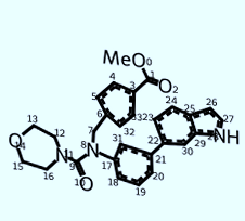 COC(=O)c1ccc(CN(C(=O)N2CCOCC2)c2cccc(-c3ccc4cc[nH]c4c3)c2)cc1